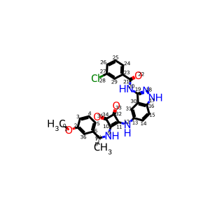 COc1cccc([C@@H](C)Nc2c(Nc3ccc4[nH]nc(NC(=O)c5cccc(Cl)c5)c4c3)c(=O)c2=O)c1